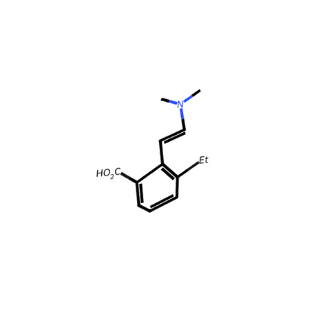 CCc1cccc(C(=O)O)c1C=CN(C)C